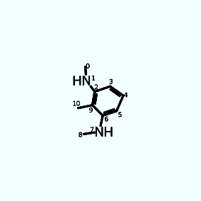 CNc1cccc(NC)c1C